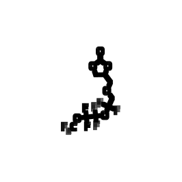 O=C1OCC(COCC(F)(F)OC(F)(F)C(F)(F)OC(F)(F)F)O1